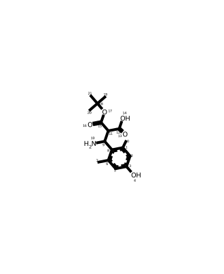 Cc1cc(O)cc(C)c1C(N)C(C(=O)O)C(=O)OC(C)(C)C